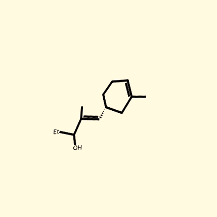 CCC(O)/C(C)=C/[C@@H]1CCC=C(C)C1